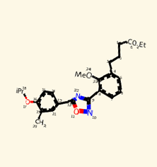 CCOC(=O)CCCc1cccc(-c2noc(-c3ccc(OC(C)C)c(C)c3)n2)c1OC